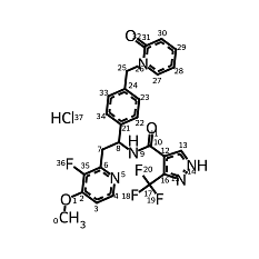 COc1ccnc(CC(NC(=O)c2c[nH]nc2C(F)(F)F)c2ccc(Cn3ccccc3=O)cc2)c1F.Cl